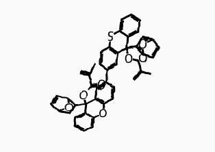 C=C(C)C(=O)OC1(c2cc3ccc2o3)c2ccccc2Sc2ccc(-c3ccc4c(c3)C(OC(=O)C(=C)C)(C3CC5C=CC3O5)c3ccccc3O4)cc21